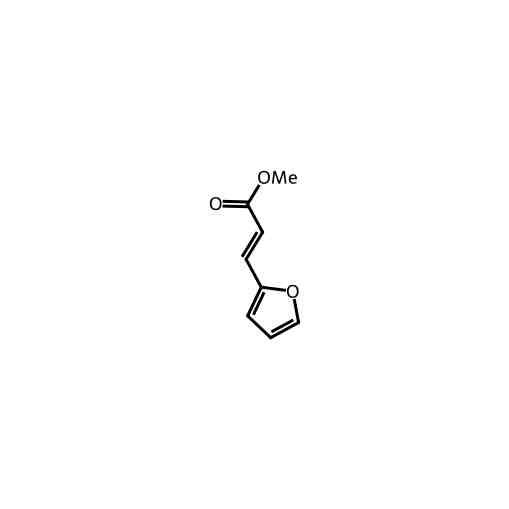 COC(=O)/C=C/c1ccco1